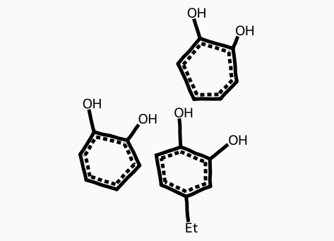 CCc1ccc(O)c(O)c1.Oc1ccccc1O.Oc1ccccc1O